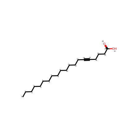 CCCCCCCCCCCCCCC#CCCCC(=O)O